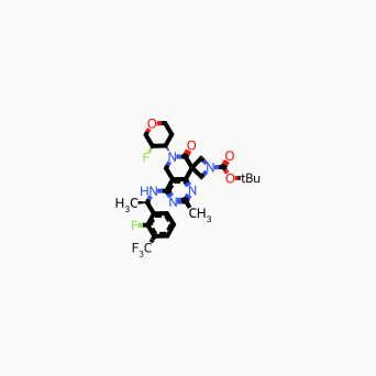 Cc1nc(N[C@H](C)c2cccc(C(F)(F)F)c2F)c2c(n1)C1(CN(C(=O)OC(C)(C)C)C1)C(=O)N([C@H]1CCOC[C@@H]1F)C2